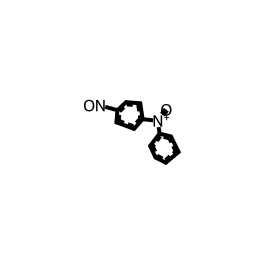 O=Nc1ccc([N+](=O)c2ccccc2)cc1